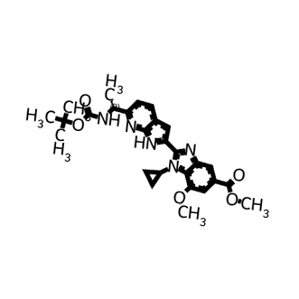 COC(=O)c1cc(OC)c2c(c1)nc(-c1cc3ccc([C@@H](C)NC(=O)OC(C)(C)C)nc3[nH]1)n2C1CC1